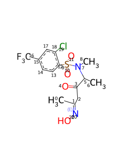 C/C(CC(=O)C(C)N(C)S(=O)(=O)c1ccc(C(F)(F)F)cc1Cl)=N\O